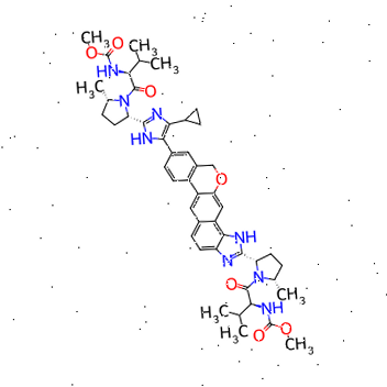 COC(=O)N[C@H](C(=O)N1[C@@H](C)CC[C@H]1c1nc(C2CC2)c(-c2ccc3c(c2)COc2cc4c(ccc5nc([C@@H]6CC[C@H](C)N6C(=O)[C@@H](NC(=O)OC)C(C)C)[nH]c54)cc2-3)[nH]1)C(C)C